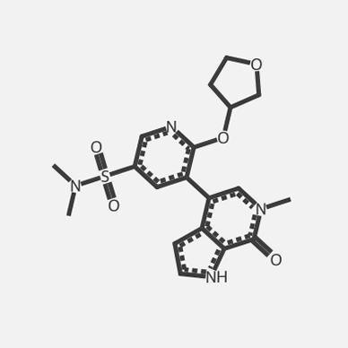 CN(C)S(=O)(=O)c1cnc(OC2CCOC2)c(-c2cn(C)c(=O)c3[nH]ccc23)c1